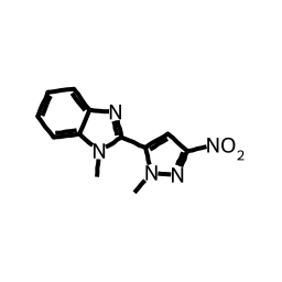 Cn1nc([N+](=O)[O-])cc1-c1nc2ccccc2n1C